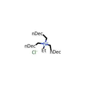 CCCCCCCCCCC[N+](CC)(CCCCCCCCCCC)CCCCCCCCCCC.[Cl-]